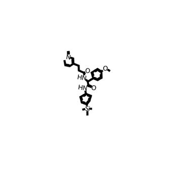 C=N/C=C(\C=C/C)CCC(=O)NC(C(=O)Nc1ccc([Si](C)(C)C)cc1)c1ccc(OC)cc1